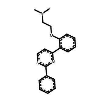 CN(C)CCOc1ccccc1-c1ccnc(-c2ccccc2)n1